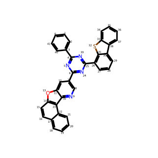 c1ccc(-c2nc(-c3cnc4c(c3)oc3ccc5ccccc5c34)nc(-c3cccc4c3sc3ccccc34)n2)cc1